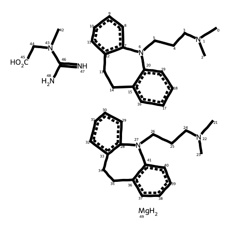 CN(C)CCCN1c2ccccc2CCc2ccccc21.CN(C)CCCN1c2ccccc2CCc2ccccc21.CN(CC(=O)O)C(=N)N.[MgH2]